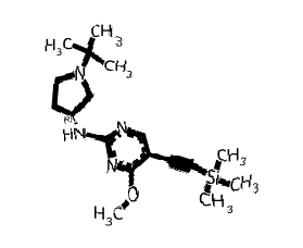 COc1nc(N[C@@H]2CCN(C(C)(C)C)C2)ncc1C#C[Si](C)(C)C